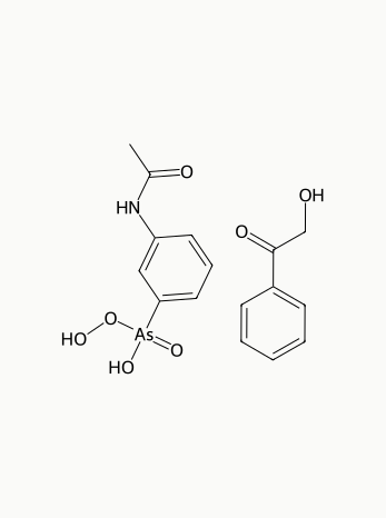 CC(=O)Nc1cccc([As](=O)(O)OO)c1.O=C(CO)c1ccccc1